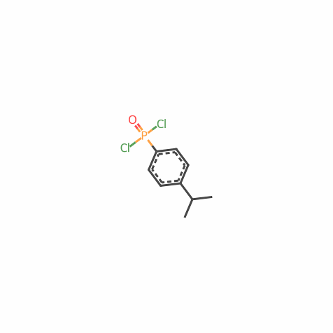 CC(C)c1ccc(P(=O)(Cl)Cl)cc1